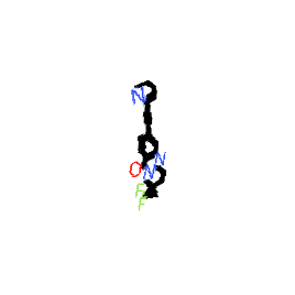 O=c1c2ccc(C#Cc3ccccn3)cc2nc2n1CC1(CC2)CC1(F)F